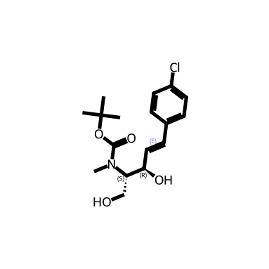 CN(C(=O)OC(C)(C)C)[C@@H](CO)[C@H](O)/C=C/c1ccc(Cl)cc1